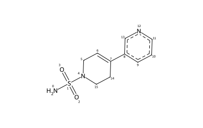 NS(=O)(=O)N1CC=C(c2cccnc2)CC1